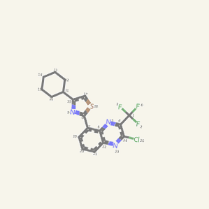 FC(F)(F)c1nc2c(-c3nc(C4CCCCC4)cs3)cccc2nc1Cl